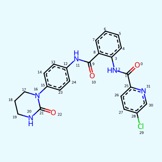 O=C(Nc1ccccc1C(=O)Nc1ccc(N2CCCNC2=O)cc1)c1ccc(Cl)cn1